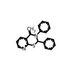 C=C1c2cccnc2SC(c2ccccc2)N1c1ccccc1